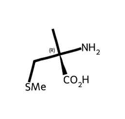 CSC[C@](C)(N)C(=O)O